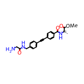 COC(=O)[C@H](C)NC(=O)c1ccc(C#Cc2ccc(CNC(=O)CN)cc2)cc1